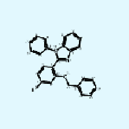 Brc1ccc(-c2nc3ccccc3n2-c2ccccc2)c(OCc2ccccc2)c1